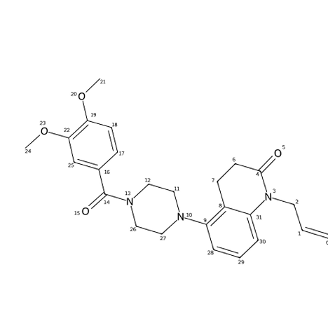 C=CCN1C(=O)CCc2c(N3CCN(C(=O)c4ccc(OC)c(OC)c4)CC3)cccc21